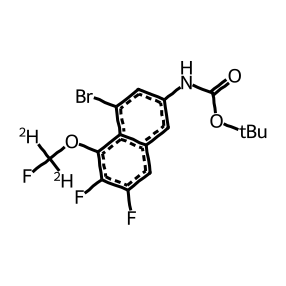 [2H]C([2H])(F)Oc1c(F)c(F)cc2cc(NC(=O)OC(C)(C)C)cc(Br)c12